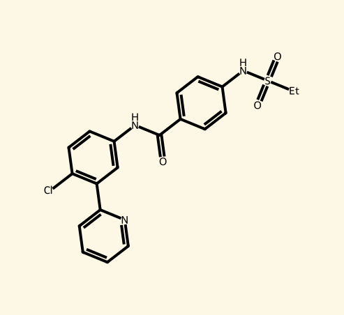 CCS(=O)(=O)Nc1ccc(C(=O)Nc2ccc(Cl)c(-c3ccccn3)c2)cc1